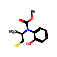 CC(C)(C)OC(=O)N(c1ccccc1O)C(CS)C(=O)O